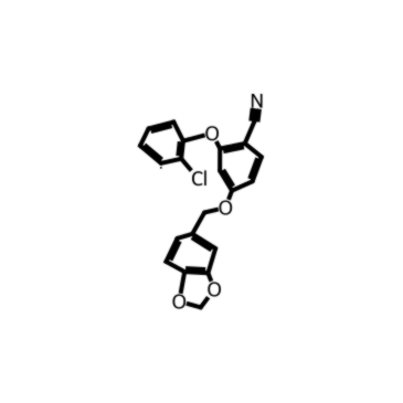 N#Cc1ccc(OCc2ccc3c(c2)OCO3)cc1Oc1ccc[c]c1Cl